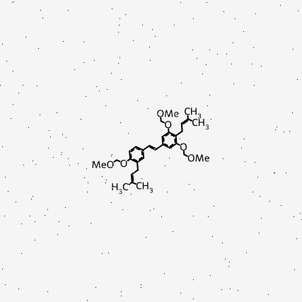 COCOc1ccc(/C=C/c2cc(OCOC)c(CC=C(C)C)c(OCOC)c2)cc1CC=C(C)C